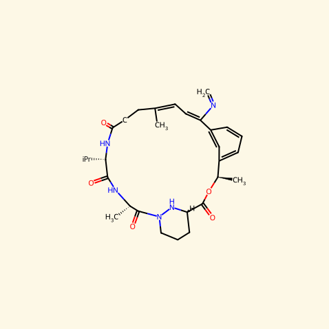 C=N/C1=C\C=C(/C)CCC(=O)N[C@@H](C(C)C)C(=O)N[C@@H](C)C(=O)N2CCC[C@H](N2)C(=O)O[C@H](C)c2cccc1c2